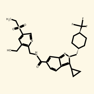 CCS(=O)(=O)c1cnc(CNC(=O)c2ccc3c(C4CC4)n(C[C@H]4CC[C@H](C(F)(F)F)CC4)nc3c2)c(CO)c1